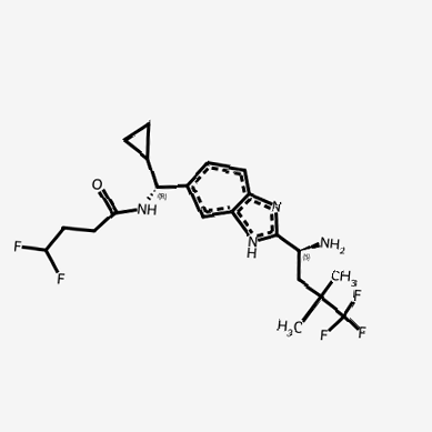 CC(C)(C[C@H](N)c1nc2ccc([C@H](NC(=O)CCC(F)F)C3CC3)cc2[nH]1)C(F)(F)F